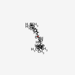 CCC(C)S(=O)(=O)N[C@@H](CNC(=O)CNC(=O)CCCC1CCN(C(=O)OC(C)(C)C)CC1)C(=O)OC